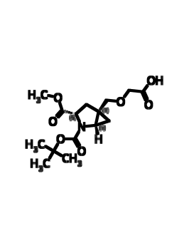 COC(=O)[C@@H]1C[C@]2(COCC(=O)O)C[C@@H]2N1C(=O)OC(C)(C)C